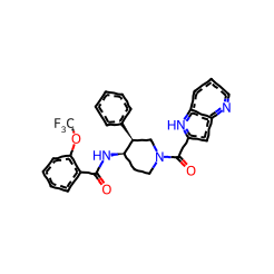 O=C(N[C@@H]1CCN(C(=O)c2cc3ncccc3[nH]2)C[C@@H]1c1ccccc1)c1ccccc1OC(F)(F)F